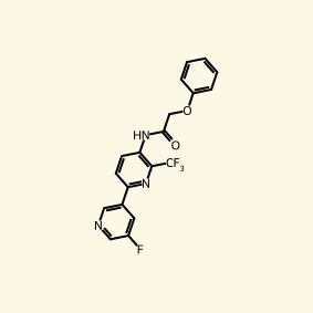 O=C(COc1ccccc1)Nc1ccc(-c2cncc(F)c2)nc1C(F)(F)F